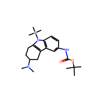 CN(C)C1CCc2c(c3cc(NC(=O)OC(C)(C)C)ccc3n2[Si](C)(C)C)C1